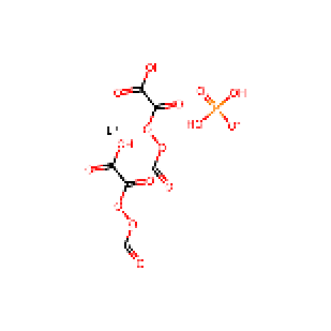 O=COOC(=O)C(=O)O.O=COOC(=O)C(=O)O.O=P([O-])(O)O.[Li+]